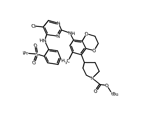 Cc1cc(Nc2ncc(Cl)c(Nc3ccccc3S(=O)(=O)C(C)C)n2)c2c(c1C1CCN(C(=O)OC(C)(C)C)CC1)OCCO2